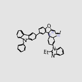 C\C=C/C=c1/oc2ccc(-c3ccc4c(c3)c3ccccc3n4-c3ccccc3)cc2/c1=C1\C=CC(n2c(CC)nc3ccccc32)=CC1C